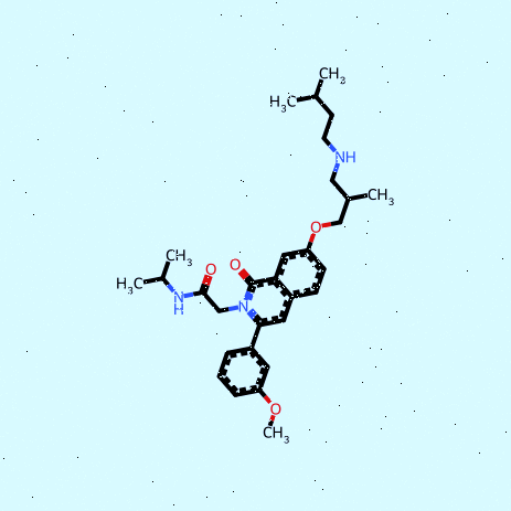 COc1cccc(-c2cc3ccc(OCC(C)CNCCC(C)C)cc3c(=O)n2CC(=O)NC(C)C)c1